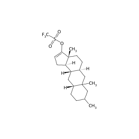 CC1CC[C@@H]2C[C@H]3[C@@H](CC[C@@]4(C)C(OS(=O)(=O)C(F)(F)F)=CC[C@H]34)CC2(C)C1